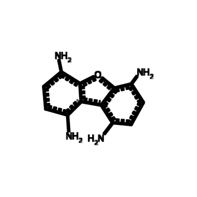 Nc1ccc(N)c2c1oc1c(N)ccc(N)c12